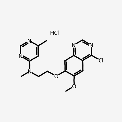 COc1cc2c(Cl)ncnc2cc1OCCN(C)c1cc(C)ncn1.Cl